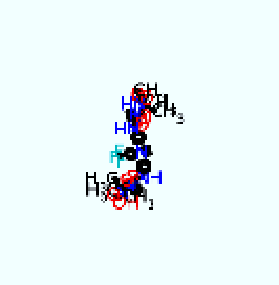 CC[C@H](C)[C@H](NC(=O)OC)C(=O)N1CCCC1C(=O)Nc1ccc([C@H]2CC[C@H](c3ccc(NC(=O)[C@@H]4CCCN4C(=O)[C@H]([C@@H](C)CC)N(C)C(=O)O)cc3)N2c2ccc(C(F)(F)F)cc2)cc1